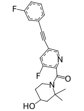 CC1(C)CC(O)CCN1C(=O)c1ncc(C#Cc2cccc(F)c2)cc1F